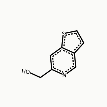 OCc1cc2sccc2cn1